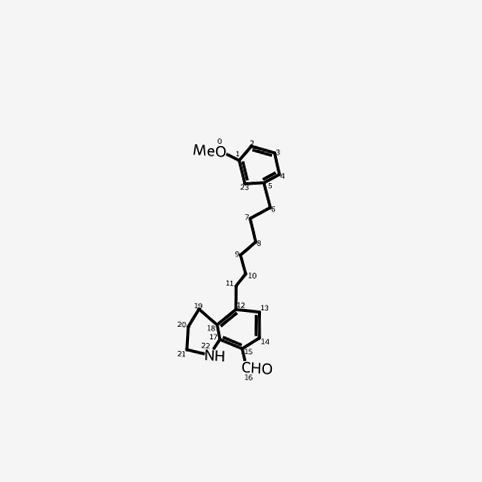 COc1cccc(CCCCCCc2ccc(C=O)c3c2CCCN3)c1